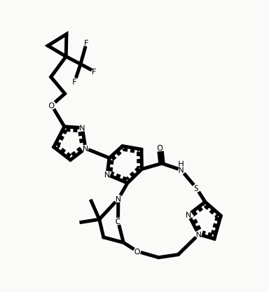 CC1(C)CC2CN1c1nc(-n3ccc(OCCC4(C(F)(F)F)CC4)n3)ccc1C(=O)NSc1ccn(n1)CCO2